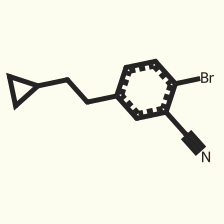 N#Cc1cc(CCC2CC2)ccc1Br